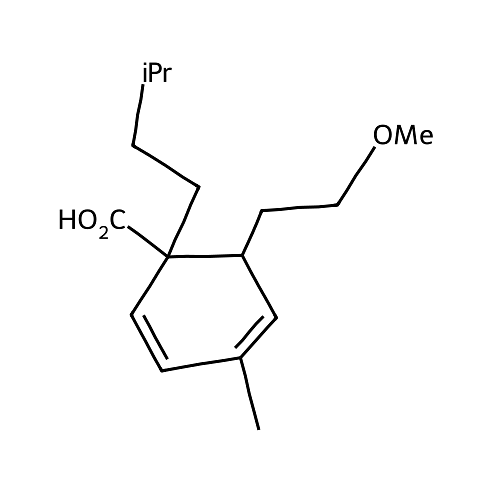 COCCC1C=C(C)C=CC1(CCC(C)C)C(=O)O